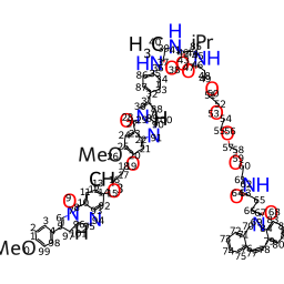 COc1ccc(C2=CN3C(=O)c4cc(C)c(OCCCOc5cc6c(cc5OC)C(=O)N5C=C(c7ccc(NC(=O)[C@H](C)NC(=O)[C@@H](NC(=O)CCOCCOCCOCCOCCNC(=O)CCC(=O)N8Cc9ccccc9C#Cc9ccccc98)C(C)C)cc7)C[C@H]5C=N6)cc4N=C[C@@H]3C2)cc1